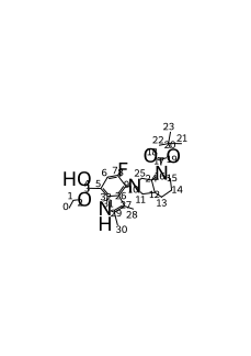 CCOC(O)c1cc(F)c(N2CC3CCCN(C(=O)OC(C)(C)C)C3C2)c2c(C)c(C)[nH]c12